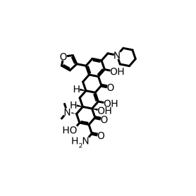 CN(C)[C@H]1C(O)=C(C(N)=O)C(=O)[C@@]2(O)C(O)=C3C(=O)c4c(O)c(CN5CCCCC5)cc(-c5ccoc5)c4C[C@H]3C[C@@H]12